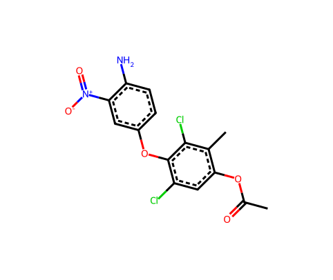 CC(=O)Oc1cc(Cl)c(Oc2ccc(N)c([N+](=O)[O-])c2)c(Cl)c1C